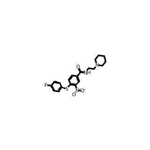 O=C(NCCN1CCCCC1)c1ccc(Sc2ccc(F)cc2)c([N+](=O)[O-])c1